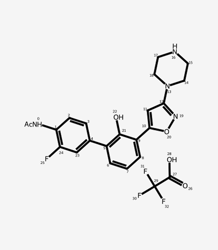 CC(=O)Nc1ccc(-c2cccc(-c3cc(N4CCNCC4)no3)c2O)cc1F.O=C(O)C(F)(F)F